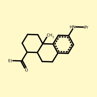 CCC(=O)C1CCCC2(C)c3cc(NC(C)C)ccc3CCC12